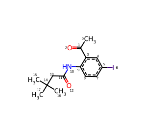 CC(=O)c1cc(I)ccc1NC(=O)CC(C)(C)C